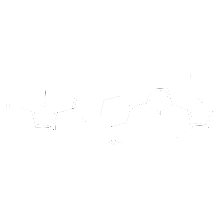 CCn1ncnc1-c1nc(N2CC[C@@H](NC(=O)c3[nH]c(Cl)c(C)c3Cl)[C@@H](OC)C2)sc1C(=O)O